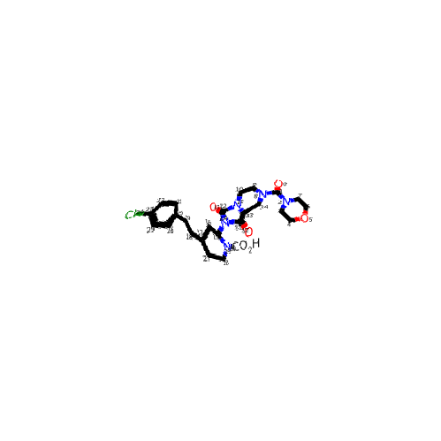 O=C(N1CCOCC1)N1CCN2C(=O)N(C3CC(CCc4ccc(Cl)cc4)CCN3C(=O)O)C(=O)C2C1